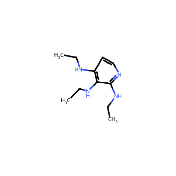 CCNc1ccnc(NCC)c1NCC